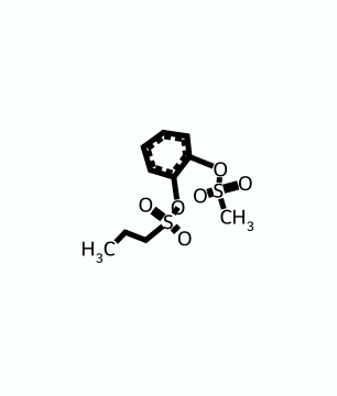 CCCS(=O)(=O)Oc1ccccc1OS(C)(=O)=O